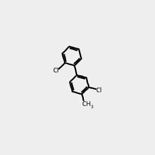 Cc1ccc(-c2ccccc2Cl)cc1Cl